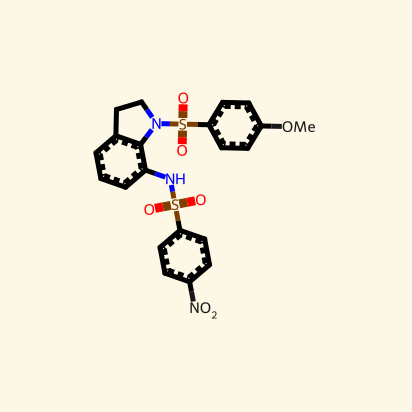 COc1ccc(S(=O)(=O)N2CCc3cccc(NS(=O)(=O)c4ccc([N+](=O)[O-])cc4)c32)cc1